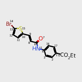 CCOC(=O)c1ccc(NC(=O)/C=C/c2ccc(Br)s2)cc1